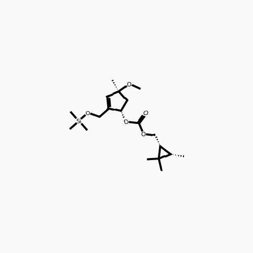 CO[C@]1(C)C=C(CO[Si](C)(C)C)[C@@H](OC(=O)OC[C@@H]2[C@H](C)C2(C)C)C1